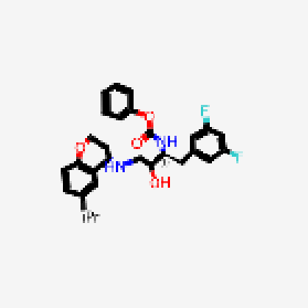 CC(C)c1ccc2c(c1)C(NCC(O)[C@H](Cc1cc(F)cc(F)c1)NC(=O)Oc1ccccc1)CCO2